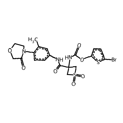 Cc1cc(NC(=O)C2(NC(=O)Oc3ccc(Br)s3)CS(=O)(=O)C2)ccc1N1CCOCC1=O